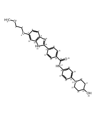 COCCOc1ccc2nc(-c3ccc(C(=O)Nc4ccc(N5CCC(O)CC5)cc4)cc3)[nH]c2c1